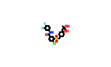 CC(C)(O)CC1(O)CCC(CS(=O)(=O)c2cc(C(=O)Nc3ccc(F)c(F)c3)ccc2Cl)CC1